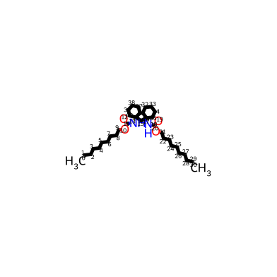 CCCCCCCCCCOC(=O)NC1(CC2(NC(=O)OCCCCCCCCCC)CCCCC2)CCCCC1